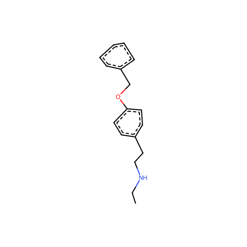 CCNCCc1ccc(OCc2ccccc2)cc1